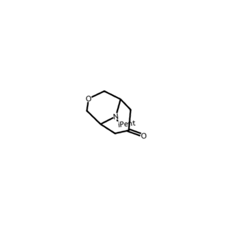 CCCC(C)N1C2COCC1CC(=O)C2